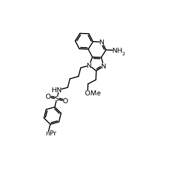 CCCc1ccc(S(=O)(=O)NCCCCn2c(CCOC)nc3c(N)nc4ccccc4c32)cc1